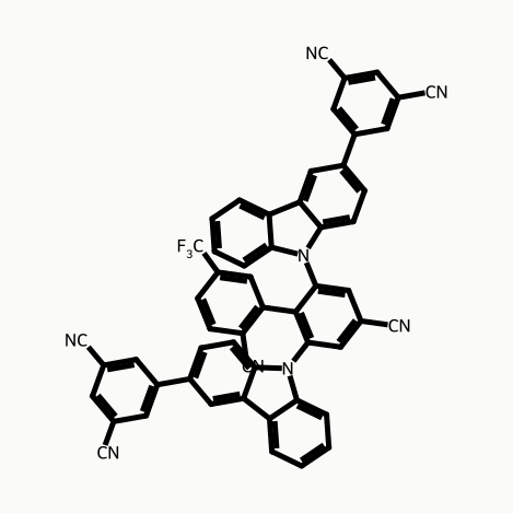 N#Cc1cc(C#N)cc(-c2ccc3c(c2)c2ccccc2n3-c2cc(C#N)cc(-n3c4ccccc4c4cc(-c5cc(C#N)cc(C#N)c5)ccc43)c2-c2cc(C(F)(F)F)ccc2C#N)c1